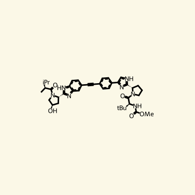 COC(=O)N[C@H](C(=O)N1CCC[C@H]1c1nc(-c2ccc(C#Cc3ccc4[nH]c([C@@H]5C[C@@H](O)CN5C(=O)[C@@H](C)C(C)C)nc4c3)cc2)c[nH]1)C(C)(C)C